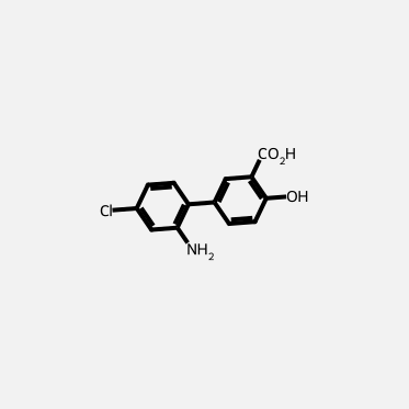 Nc1cc(Cl)ccc1-c1ccc(O)c(C(=O)O)c1